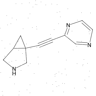 C(#CC12CNCC1C2)c1cnccn1